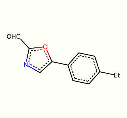 CCc1ccc(-c2cnc(C=O)o2)cc1